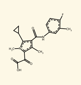 Cc1cc(NC(=O)c2c(C)c(C(=O)C(=O)O)n(C)c2C2CC2)ccc1F